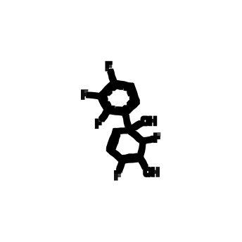 OC1=C(F)C=CC(O)(c2ccc(F)c(F)c2F)C1F